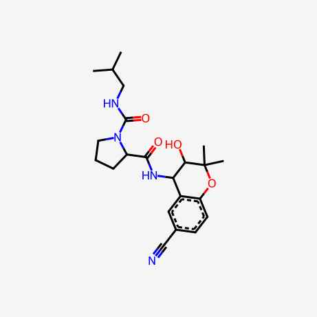 CC(C)CNC(=O)N1CCCC1C(=O)NC1c2cc(C#N)ccc2OC(C)(C)C1O